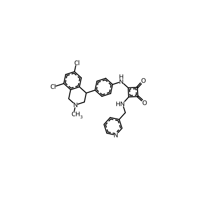 CN1Cc2c(Cl)cc(Cl)cc2C(c2ccc(Nc3c(NCc4cccnc4)c(=O)c3=O)cc2)C1